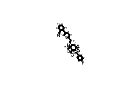 C[C@H]1OC(=O)[C@]2(NC(=O)c3ccc(F)cc3)CC(F)(F)[C@@H](C)[C@H](/C=C/c3ccc(-c4ccccc4C#N)cn3)[C@H]12